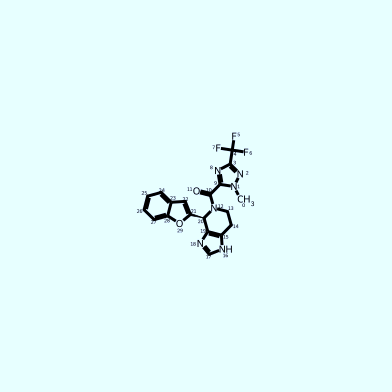 Cn1nc(C(F)(F)F)nc1C(=O)N1CCc2[nH]cnc2[C@H]1c1cc2ccccc2o1